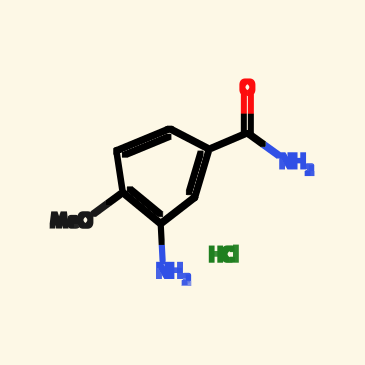 COc1ccc(C(N)=O)cc1N.Cl